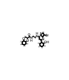 O=C(NCCNc1cc(-c2ccccc2O)nc2c(Br)cnn12)C1COc2ccccc2O1